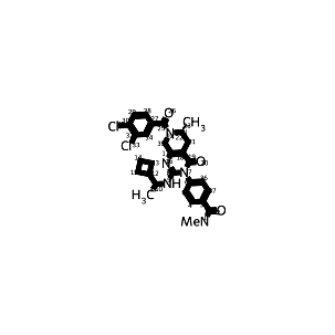 CNC(=O)c1ccc(-n2c(NC(C)C3CCC3)nc3c(c2=O)C[C@@H](C)N(C(=O)c2ccc(Cl)c(Cl)c2)C3)cc1